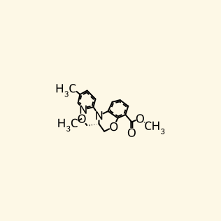 COC[C@H]1COc2c(C(=O)OC)cccc2N1c1ccc(C)cn1